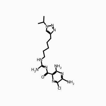 CC(C)n1cc(CCCCCN/C(N)=N/C(=O)c2nc(Cl)c(N)nc2N)nn1